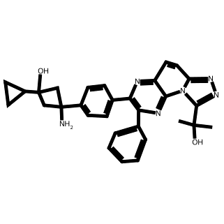 CC(C)(O)c1nnc2ccc3nc(-c4ccc(C5(N)CC(O)(C6CC6)C5)cc4)c(-c4ccccc4)nc3n12